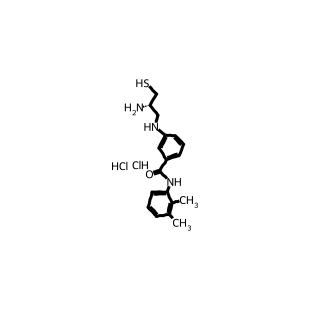 Cc1cccc(NC(=O)c2cccc(NC[C@H](N)CS)c2)c1C.Cl.Cl